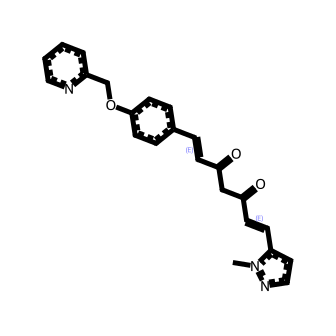 Cn1nccc1/C=C/C(=O)CC(=O)/C=C/c1ccc(OCc2ccccn2)cc1